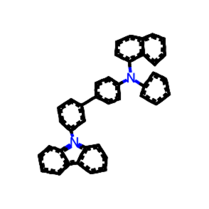 c1ccc(N(c2ccc(-c3cccc(-n4c5ccccc5c5ccccc54)c3)cc2)c2cccc3ccccc23)cc1